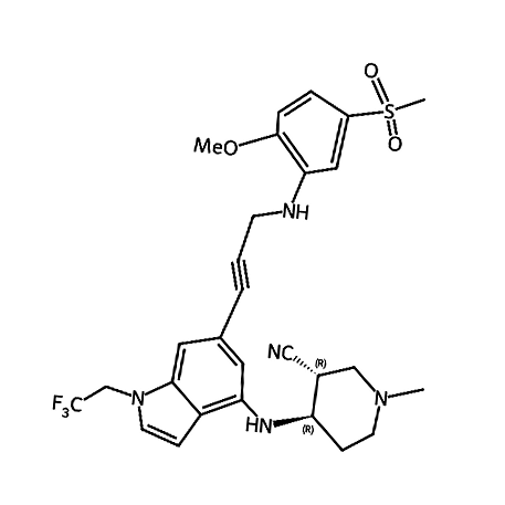 COc1ccc(S(C)(=O)=O)cc1NCC#Cc1cc(N[C@@H]2CCN(C)C[C@H]2C#N)c2ccn(CC(F)(F)F)c2c1